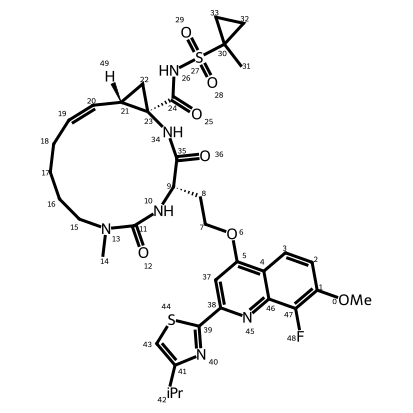 COc1ccc2c(OCC[C@@H]3NC(=O)N(C)CCCC/C=C\[C@@H]4C[C@@]4(C(=O)NS(=O)(=O)C4(C)CC4)NC3=O)cc(-c3nc(C(C)C)cs3)nc2c1F